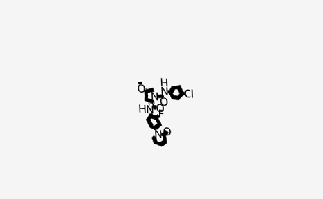 CO[C@@H]1C[C@H](C(=O)Nc2ccc(-n3ccccc3=O)cc2F)N(C(=O)Nc2ccc(Cl)cc2)C1